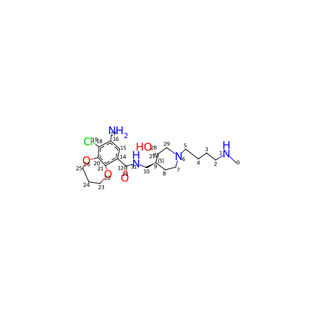 CNCCCCN1CC[C@@H](CNC(=O)c2cc(N)c(Cl)c3c2OCCCO3)[C@H](O)C1